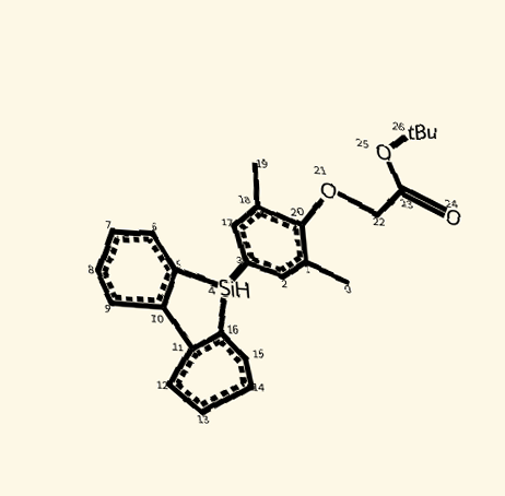 Cc1cc([SiH]2c3ccccc3-c3ccccc32)cc(C)c1OCC(=O)OC(C)(C)C